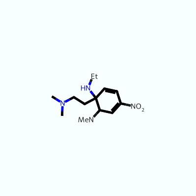 CCNC1(CCN(C)C)C=CC([N+](=O)[O-])=CC1NC